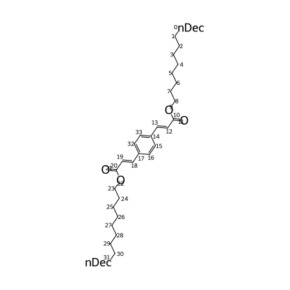 CCCCCCCCCCCCCCCCCCOC(=O)C=Cc1ccc(C=CC(=O)OCCCCCCCCCCCCCCCCCC)cc1